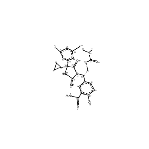 COC(=O)c1cc([C@@H](COC(=O)N(C)C)N2C(=N)NC(c3cc(F)cc(F)c3)(C3CC3)C2=O)ccc1Cl